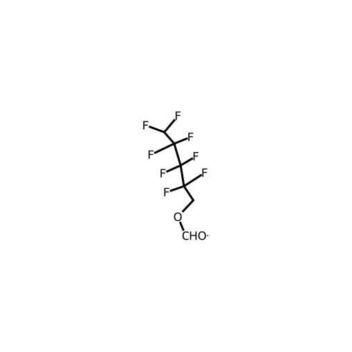 O=[C]OCC(F)(F)C(F)(F)C(F)(F)C(F)F